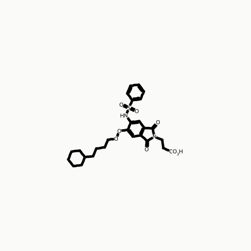 O=C(O)CCN1C(=O)c2cc(NS(=O)(=O)c3ccccc3)c(OOCCCCC3CCCCC3)cc2C1=O